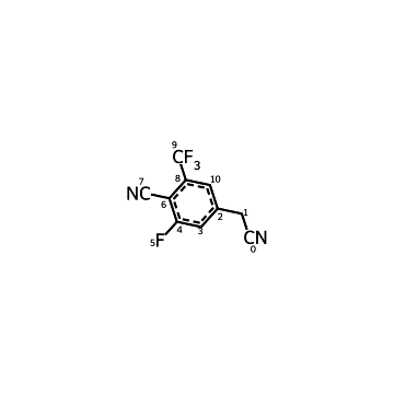 N#CCc1cc(F)c(C#N)c(C(F)(F)F)c1